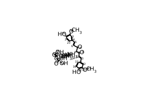 COc1cc(C=CC(=O)CC(=O)C=Cc2ccc(O)c(OC)c2)ccc1O.N.N.N.N.O=P(O)(O)OP(=O)(O)O